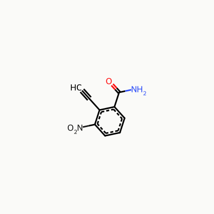 C#Cc1c(C(N)=O)cccc1[N+](=O)[O-]